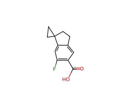 O=C(O)c1cc2c(cc1F)C1(CC2)CC1